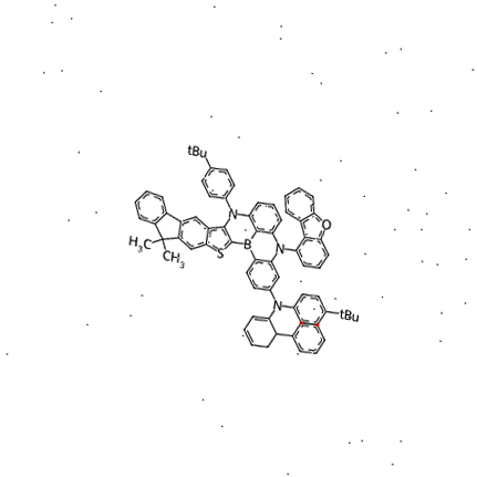 CC(C)(C)c1ccc(N(C2=CC=CCC2c2ccccc2)c2ccc3c(c2)N(c2cccc4oc5ccccc5c24)c2cccc4c2B3c2sc3cc5c(cc3c2N4c2ccc(C(C)(C)C)cc2)-c2ccccc2C5(C)C)cc1